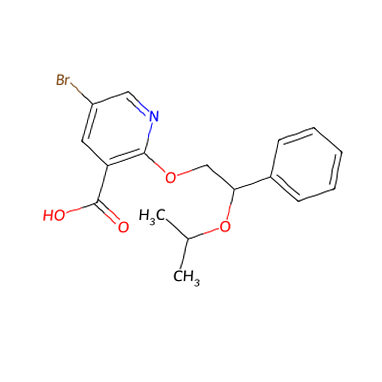 CC(C)OC(COc1ncc(Br)cc1C(=O)O)c1ccccc1